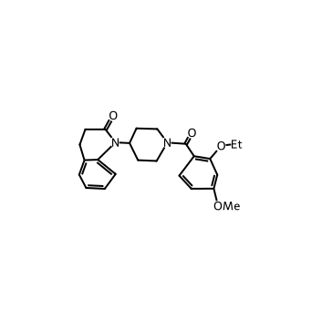 CCOc1cc(OC)ccc1C(=O)N1CCC(N2C(=O)CCc3ccccc32)CC1